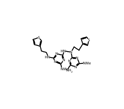 CNc1nc(NCCc2ccsc2)nc(NN(CCc2ccsc2)c2nc(N)nc(NC)n2)n1